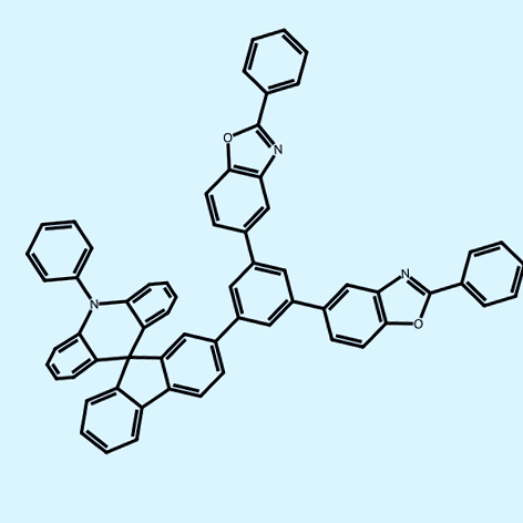 c1ccc(-c2nc3cc(-c4cc(-c5ccc6c(c5)C5(c7ccccc7-6)c6ccccc6N(c6ccccc6)c6ccccc65)cc(-c5ccc6oc(-c7ccccc7)nc6c5)c4)ccc3o2)cc1